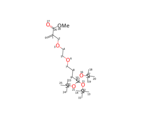 C=C(COCCOCCC[Si](O[Si](C)(C)C)(O[Si](C)(C)C)O[Si](C)(C)C)C(=O)OC